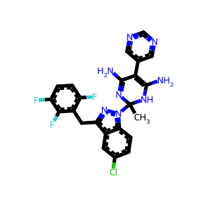 CC1(n2nc(Cc3c(F)ccc(F)c3F)c3cc(Cl)ccc32)N=C(N)C(c2cncnc2)=C(N)N1